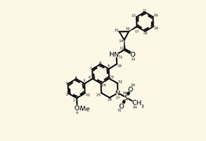 COc1cccc(-c2ccc(CNC(=O)[C@H]3C[C@H]3c3ccccc3)c3c2CCN(S(C)(=O)=O)C3)c1